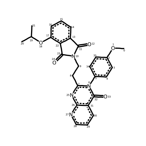 COc1ccc(-n2c(CCN3C(=O)c4cccc(OC(C)C)c4C3=O)nc3ncccc3c2=O)cc1